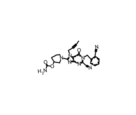 CC#CCn1c(N2CCCC(OC(N)=O)C2)nc2nc(C#N)n(Cc3ccccc3C#N)c(=O)c21